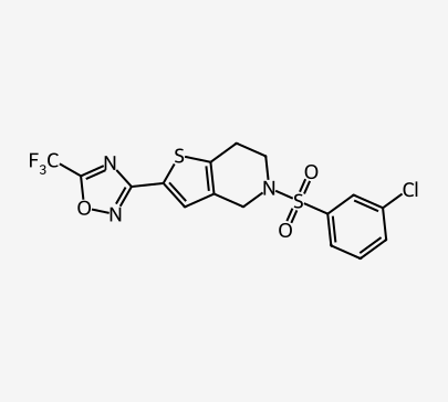 O=S(=O)(c1cccc(Cl)c1)N1CCc2sc(-c3noc(C(F)(F)F)n3)cc2C1